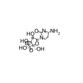 Nc1ccn([C@@H]2O[C@@](CO)(S(=O)(=O)O)[C@@H](O)[C@H]2O)c(=O)n1